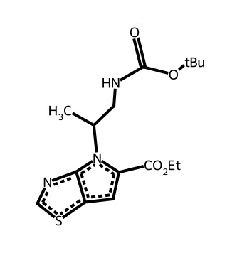 CCOC(=O)c1cc2scnc2n1C(C)CNC(=O)OC(C)(C)C